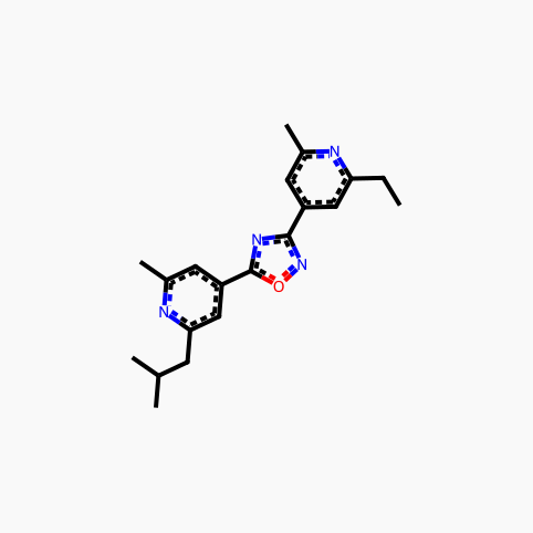 CCc1cc(-c2noc(-c3cc(C)nc(CC(C)C)c3)n2)cc(C)n1